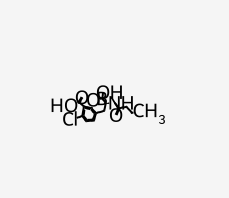 CCCC(=O)N[C@H]1Cc2ccc(Cl)c(C(=O)O)c2OB1O